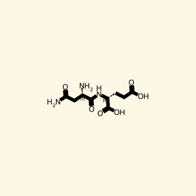 NC(=O)C[C@H](N)C(=O)N[C@H](CCC(=O)O)C(=O)O